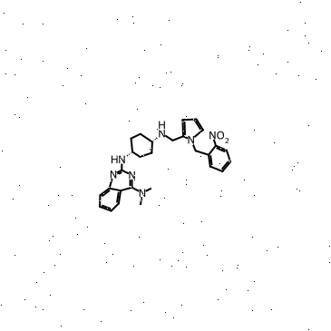 CN(C)c1nc(N[C@H]2CC[C@@H](NCc3cccn3Cc3ccccc3[N+](=O)[O-])CC2)nc2ccccc12